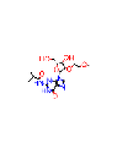 COCCO[C@@H]1[C@H](O)[C@@H](CO)O[C@H]1n1cnc2c(=O)[nH]c(NC(=O)C(C)C)nc21